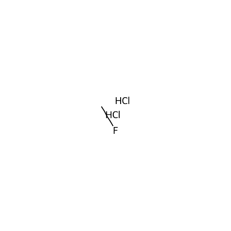 CF.Cl.Cl